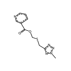 Cn1nnc(CSCOC(=O)c2cccnc2)n1